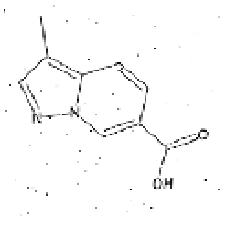 Cc1cnn2cc(C(=O)O)ccc12